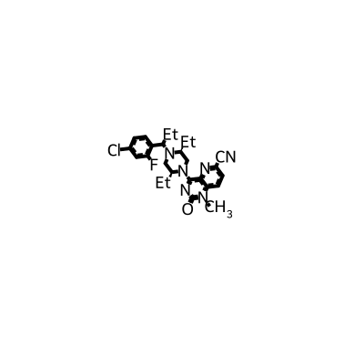 CCC(c1ccc(Cl)cc1F)N1C[C@H](CC)N(c2nc(=O)n(C)c3ccc(C#N)nc23)C[C@H]1CC